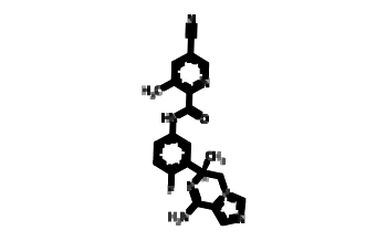 Cc1cc(C#N)cnc1C(=O)Nc1ccc(F)c([C@]2(C)Cn3cncc3C(N)=N2)c1